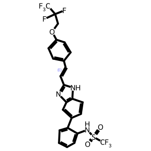 O=S(=O)(Nc1ccccc1-c1ccc2[nH]c(/C=C/c3ccc(OCC(F)(F)C(F)(F)F)cc3)nc2c1)C(F)(F)F